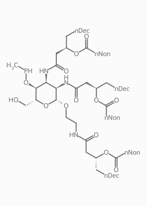 CCCCCCCCCCC[C@H](CC(=O)NCCO[C@@H]1O[C@H](CO)[C@@H](OPC)[C@@H](NC(=O)C[C@@H](CCCCCCCCCCC)OC(=O)CCCCCCCCC)[C@H]1NC(=O)C[C@@H](CCCCCCCCCCC)OC(=O)CCCCCCCCC)OC(=O)CCCCCCCCC